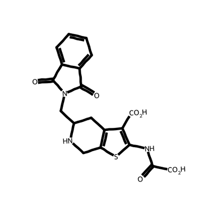 O=C(O)C(=O)Nc1sc2c(c1C(=O)O)CC(CN1C(=O)c3ccccc3C1=O)NC2